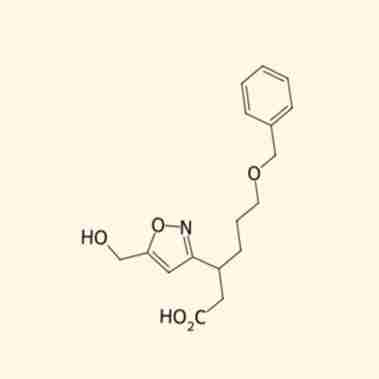 O=C(O)CC(CCCOCc1ccccc1)c1cc(CO)on1